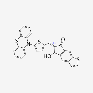 O=C1/C(=C/c2ccc(N3c4ccccc4Sc4ccccc43)s2)C(O)c2cc3ccsc3cc21